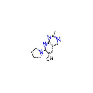 Cc1ncc2cc(C#N)c(N3CCCC3)nc2n1